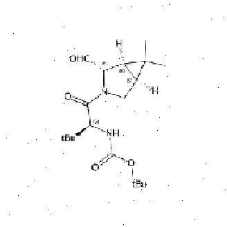 CC(C)(C)OC(=O)N[C@H](C(=O)N1C[C@H]2[C@@H]([C@H]1C=O)C2(C)C)C(C)(C)C